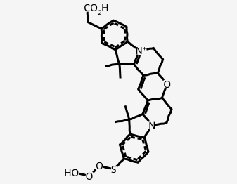 CC1(C)C2=C3C=C4C5=[N+](CCC4OC3CCN2c2ccc(SOOO)cc21)c1ccc(CC(=O)O)cc1C5(C)C